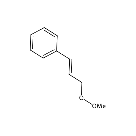 COOCC=Cc1ccccc1